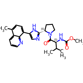 COC(=O)N[C@H](C(=O)N1CCC[C@H]1c1ncc(-c2ccc(C)c3cccnc23)[nH]1)C(C)C